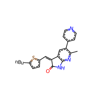 CCCCc1ccc(C=C2C(=O)Nc3nc(C)c(-c4ccncc4)cc32)s1